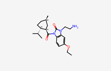 CCOc1ccc2c(c1)n(CCN)c(=O)n2C(=O)[C@@H]1C[C@H](C)CC[C@H]1C(C)C